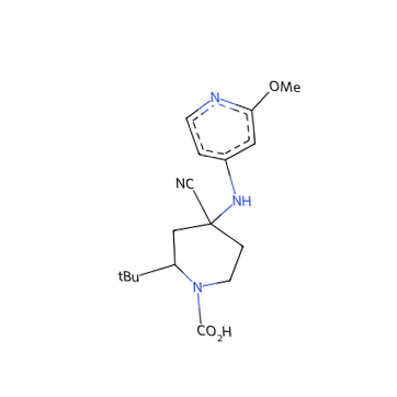 COc1cc(NC2(C#N)CCN(C(=O)O)C(C(C)(C)C)C2)ccn1